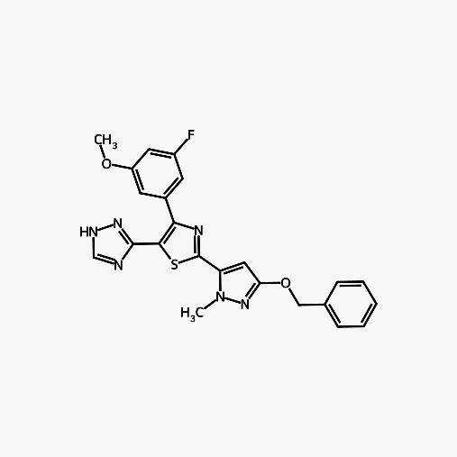 COc1cc(F)cc(-c2nc(-c3cc(OCc4ccccc4)nn3C)sc2-c2nc[nH]n2)c1